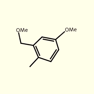 COCc1cc(OC)ccc1C